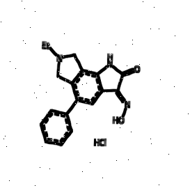 CCN1Cc2c(-c3ccccc3)cc3c(c2C1)NC(=O)C3=NO.Cl